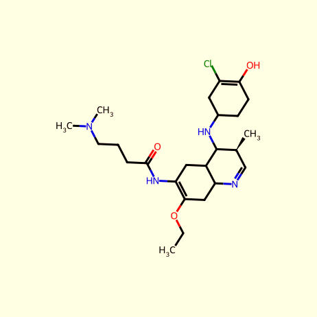 CCOC1=C(NC(=O)CCCN(C)C)CC2C(C1)N=C[C@H](C)C2NC1CCC(O)=C(Cl)C1